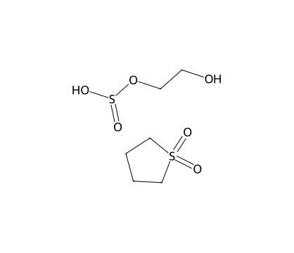 O=S(O)OCCO.O=S1(=O)CCCC1